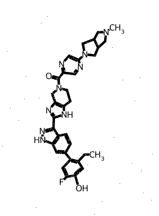 CCc1cc(O)c(F)cc1-c1ccc2c(-c3nc4c([nH]3)CCN(C(=O)c3cnc(N5CC6CN(C)CC6C5)cn3)C4)n[nH]c2c1